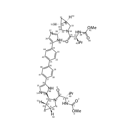 COC(=O)N[C@H](C(=O)N1C[C@@H]2C[C@@H]2[C@H]1c1ncc(-c2ccc(-c3ccc(-c4cnc([C@@H]5[C@H]6C[C@H]6CN5C(=O)[C@@H](NC(=O)OC)C(C)C)[nH]4)cc3)cc2)[nH]1)C(C)C